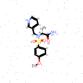 CCOc1ccc(S(=O)(=O)N(Cc2cccnc2)[C@@H](C(N)=O)C(C)C)cc1